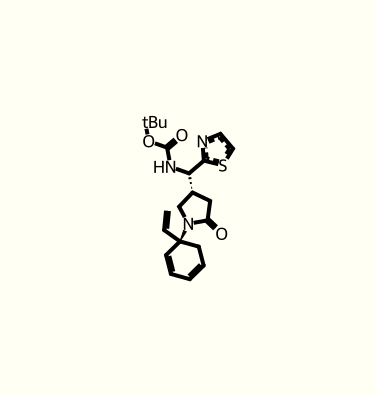 C=C[C@@]1(N2C[C@H](C(NC(=O)OC(C)(C)C)c3nccs3)CC2=O)C=CC=CC1